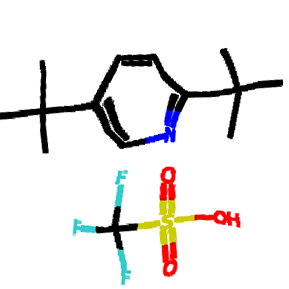 CC(C)(C)c1ccc(C(C)(C)C)nc1.O=S(=O)(O)C(F)(F)F